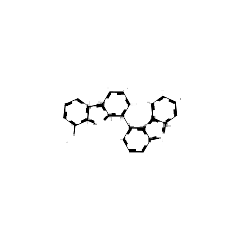 Clc1cccc2c1oc1c(-c3cccc4oc5ccccc5c34)cccc12